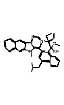 CCC1(CC)[n+]2cnc3c4cc5ccccc5cc4n(C)c3c2-c2cc(CC(C)C)c3ccccc3c2C1(O)OC